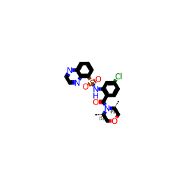 C[C@@H]1COC[C@H](C)N1C(=O)c1ccc(Cl)cc1NS(=O)(=O)c1cccc2nccnc12